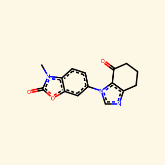 Cn1c(=O)oc2cc(-n3cnc4c3C(=O)CCC4)ccc21